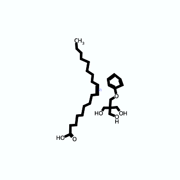 CCCCCCCC/C=C\CCCCCCCC(=O)O.OCC(CO)(CO)COc1ccccc1